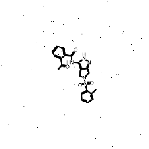 CC(=O)c1ccccc1C(=O)Nc1[nH]nc2c1CN(S(=O)(=O)c1ccccc1C)C2